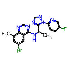 CC(Nc1ncnc2c(C(F)(F)F)cc(Br)cc12)c1ncnn1-c1ccc(F)cn1